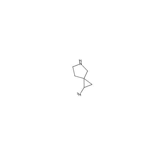 [2H]C1CC12CCNC2